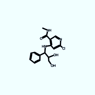 CNC(=O)c1cnc(Cl)cc1NC(c1ccccc1)C(O)CO